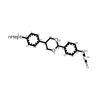 CCCCCCCc1ccc(C2COC(c3ccc(N=C=S)cc3)OC2)cc1